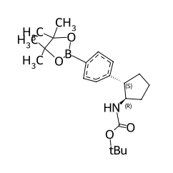 CC(C)(C)OC(=O)N[C@@H]1CCC[C@H]1c1ccc(B2OC(C)(C)C(C)(C)O2)cc1